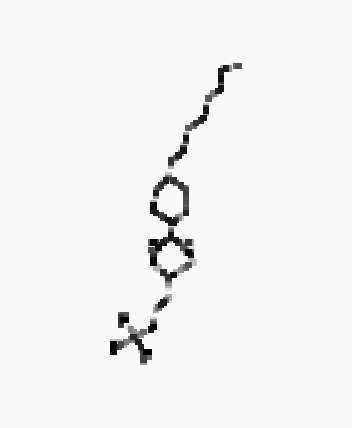 CCCCCCCCC1CCC(C2OCC(CCCC(F)(F)F)CO2)CC1